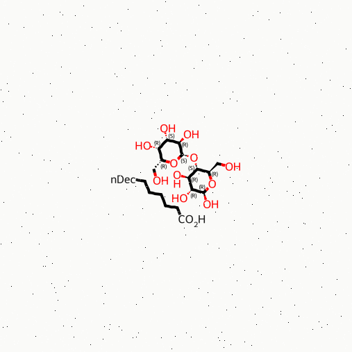 CCCCCCCCCCCCCCCC(=O)O.OC[C@H]1O[C@@H](O[C@H]2[C@H](O)[C@@H](O)[C@H](O)O[C@@H]2CO)[C@H](O)[C@@H](O)[C@H]1O